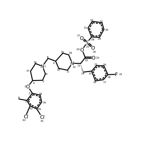 Cc1c(OC2CCN(CC3CCN([C@@H](Cc4ccc(F)cc4)C(=O)OS(=O)(=O)c4ccccc4)CC3)CC2)ccc(Cl)c1Cl